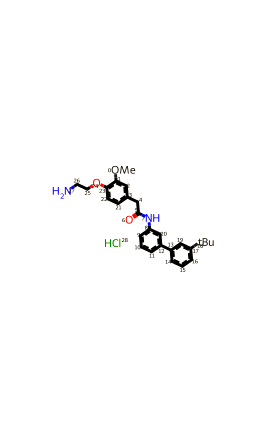 COc1cc(CC(=O)Nc2cccc(-c3cccc(C(C)(C)C)c3)c2)ccc1OCCN.Cl